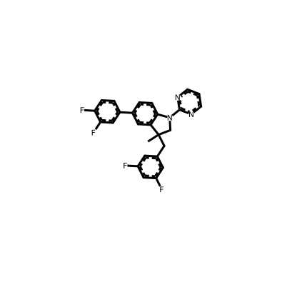 CC1(Cc2cc(F)cc(F)c2)CN(c2ncccn2)c2ccc(-c3ccc(F)c(F)c3)cc21